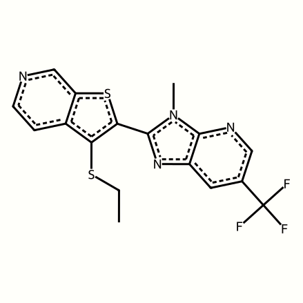 CCSc1c(-c2nc3cc(C(F)(F)F)cnc3n2C)sc2cnccc12